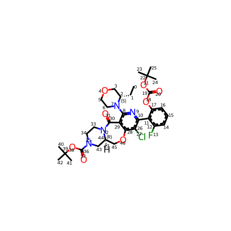 CC[C@H]1COCCN1c1nc(-c2c(F)cccc2OC(=O)OC(C)(C)C)c(Cl)c2c1C(=O)N1CCN(C(=O)OC(C)(C)C)C[C@@H]1CO2